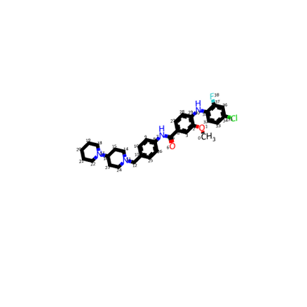 COc1cc(C(=O)Nc2ccc(CN3CCC(N4CCCCC4)CC3)cc2)ccc1Nc1ccc(Cl)cc1F